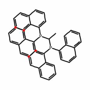 CC(P(c1cccc2ccccc12)c1cccc2ccccc12)P(c1cccc2ccccc12)c1cccc2ccccc12